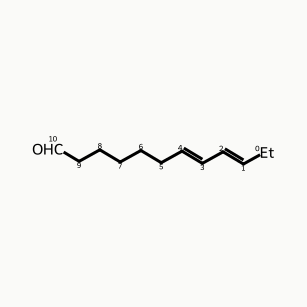 CCC=CC=CCCCCCC=O